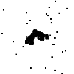 CCCOc1cccc(Oc2cc3c(cc2NS(=O)(=O)c2cccc(C(=O)N[C@H]4C[C@@H](Oc5cc(-c6cnn(C(C(=O)N7C[C@H](O)C[C@H]7C(=O)N[C@@H](C)c7ccc(-c8scnc8C)cc7)C(C)(C)C)c6)ccn5)C4)c2)n(C)c(=O)n3C)c1